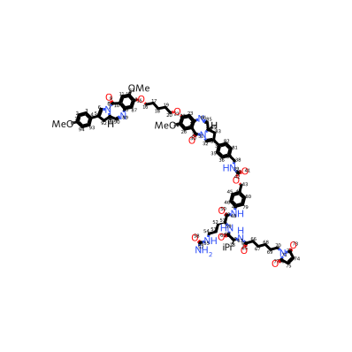 COc1ccc(C2=CN3C(=O)c4cc(OC)c(OCCCCCOc5cc6c(cc5OC)C(=O)N5C=C(c7ccc(CNC(=O)OCc8ccc(NC(=O)[C@H](CCCNC(N)=O)NC(=O)[C@@H](NC(=O)CCCCCN9C(=O)C=CC9=O)C(C)C)cc8)cc7)C[C@H]5C=N6)cc4N=C[C@@H]3C2)cc1